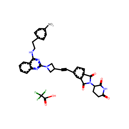 O=C(O)C(F)(F)F.O=C1CCC(N2C(=O)c3ccc(C#CC4CN(c5nc(NCCc6ccc([N+](=O)[O-])cc6)c6ccccc6n5)C4)cc3C2=O)C(=O)N1